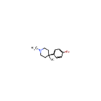 [C-]#[N+]C1(c2ccc(Br)cc2)CCN(C)CC1